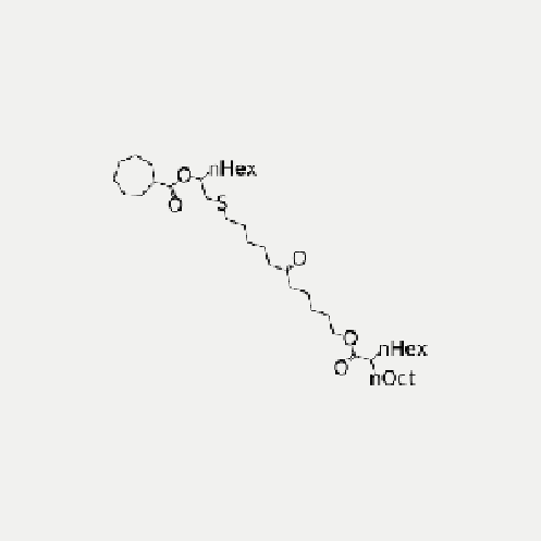 CCCCCCCCC(CCCCCC)C(=O)OCCCCCC(=O)CCCCCSCC(CCCCCC)OC(=O)C1CCCCCC1